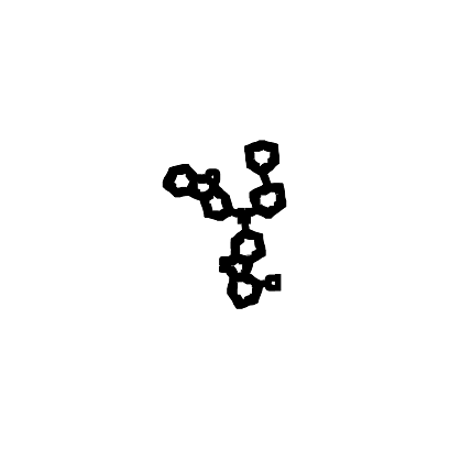 Clc1cccc2sc3cc(N(c4cccc(-c5ccccc5)c4)c4ccc5c(c4)oc4ccccc45)ccc3c12